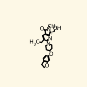 CCc1cc2c(nc1N1CCC(Oc3ccc4c(c3)OCC4)CC1)[C@H](CO)N(C)C2=O